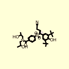 CC(O)CN(CC(C)O)C(=O)c1ccc(S(=O)(=O)/C(=C\CC#N)c2cc(C(C)(C)C)c(O)c(C(C)(C)C)c2)cc1